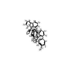 Cc1cccc([PH](O)(c2ccccc2)c2ccccc2Oc2ccccc2P(=O)(C2C=CC=CC2)C2CCCCC2)c1